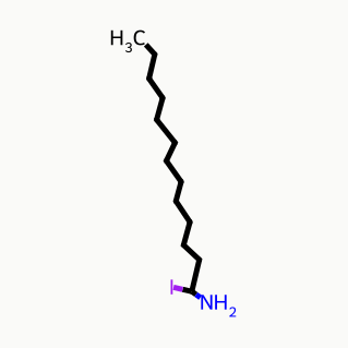 CCCCCCCCCCCCC(N)I